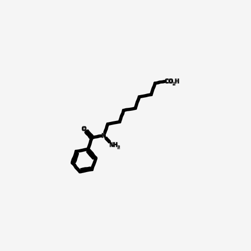 NN(CCCCCCCC(=O)O)C(=O)c1ccccc1